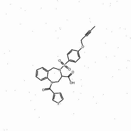 CC#CCOc1ccc(S(=O)(=O)N2Cc3ccccc3N(C(=O)c3ccsc3)CC2C(=O)O)cc1